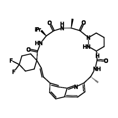 CC(C)[C@@H]1NC(=O)C2(/C=C/c3ccc4ccc(nc4c3)[C@@H](C)NC(=O)[C@@H]3CCCN(N3)C(=O)[C@H](C)NC1=O)CCC(F)(F)CC2